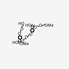 COCCOCCOC(C)(c1ccc(OCCOCCOC(OC)(c2ccc(OCCOCCO)cc2)C(C)(C)O)cc1)C(C)(C)O